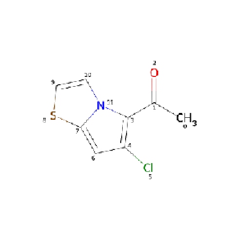 CC(=O)c1c(Cl)cc2sccn12